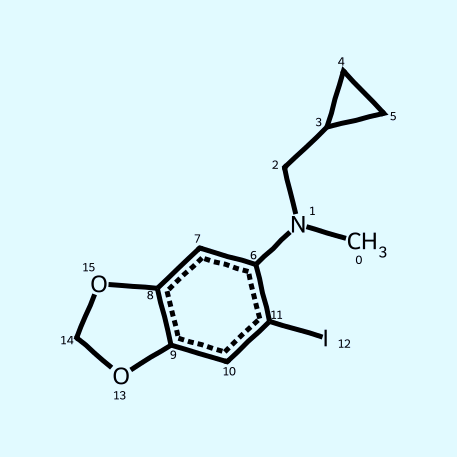 CN(CC1CC1)c1cc2c(cc1I)OCO2